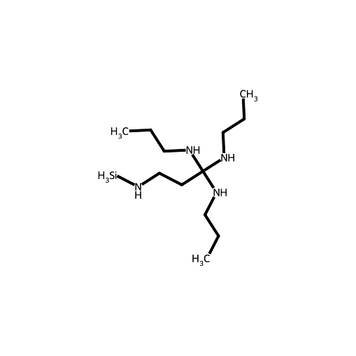 CCCNC(CCN[SiH3])(NCCC)NCCC